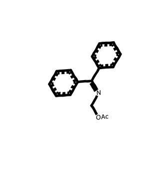 CC(=O)OCN=C(c1ccccc1)c1ccccc1